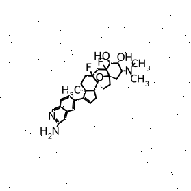 CN(C)[C@H]1C[C@@]23CC[C@]4(O2)C2CC=C(c5ccc6cnc(N)cc6c5)[C@@]2(C)CCC4(F)CC3(F)[C@@H](O)[C@@H]1O